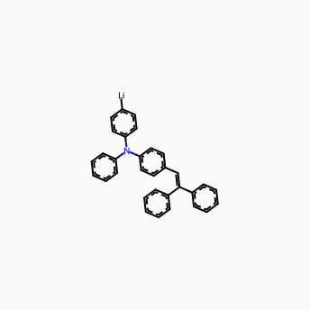 [Li][c]1ccc(N(c2ccccc2)c2ccc(C=C(c3ccccc3)c3ccccc3)cc2)cc1